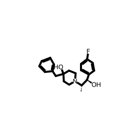 C[C@@H]([C@H](O)c1ccc(F)cc1)N1CCC(O)(Cc2ccccc2)CC1